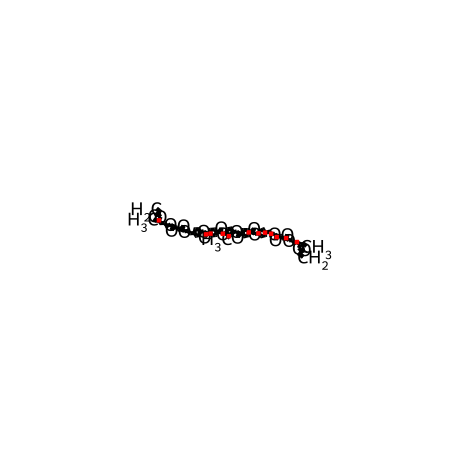 C=CC(=O)OC(CC)CCCOC(=O)CCC(=O)OCCC1CCC(OC(=O)C2CCC(C(=O)Oc3ccc(OC(=O)C4CCC(C(=O)OC5CCC(CCOC(=O)CCC(=O)OCCCC(CC)OC(=O)C=C)CC5)CC4)c(C)c3)CC2)CC1